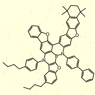 CCCCc1ccc(N2c3cc4c(oc5ccccc54)c4c3B(c3oc5ccc(CCCC)cc5c32)N(c2ccc(-c3ccccc3)cc2)c2cc3oc5cc6c(cc5c3cc2-4)C(C)(C)CCC6(C)C)cc1